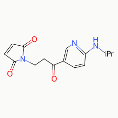 CC(C)Nc1ccc(C(=O)CCN2C(=O)C=CC2=O)cn1